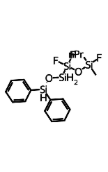 CCC[Si](C)(F)O[Si](F)(F)[SiH2]O[SiH](c1ccccc1)c1ccccc1